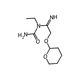 CCN(C(=N)COC1CCCCO1)C(N)=O